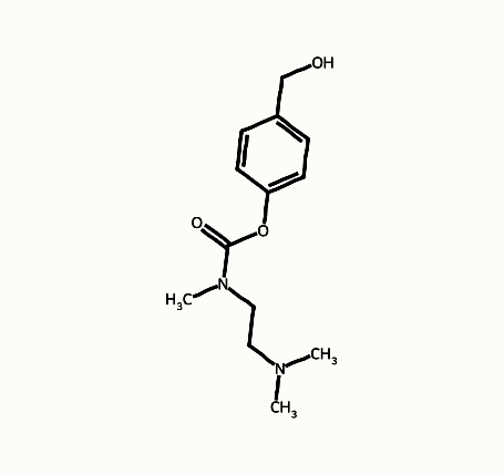 CN(C)CCN(C)C(=O)Oc1ccc(CO)cc1